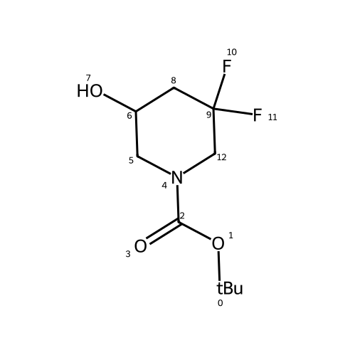 CC(C)(C)OC(=O)N1CC(O)CC(F)(F)C1